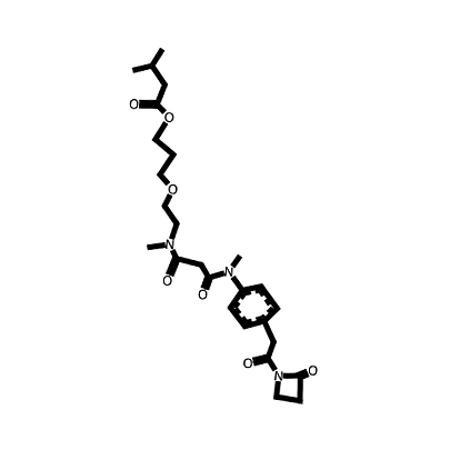 CC(C)CC(=O)OCCCOCCN(C)C(=O)CC(=O)N(C)c1ccc(CC(=O)N2CCC2=O)cc1